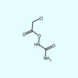 NC(=O)NOC(=O)CCl